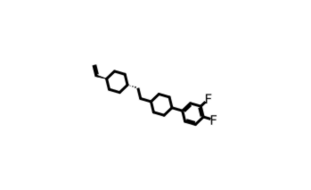 C=C[C@H]1CC[C@H](CCC2CCC(c3ccc(F)c(F)c3)CC2)CC1